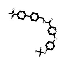 CS(=O)(=O)c1ccc(-c2ccc(CNC(=O)c3ccc(Oc4ccc(OC(F)(F)F)cc4)nc3)cc2)cc1